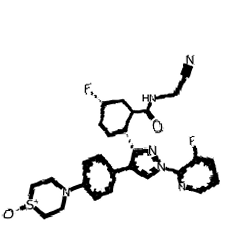 N#CCNC(=O)C1C[C@@H](F)CC[C@H]1c1nn(-c2ncccc2F)cc1-c1ccc(N2CC[S+]([O-])CC2)cc1